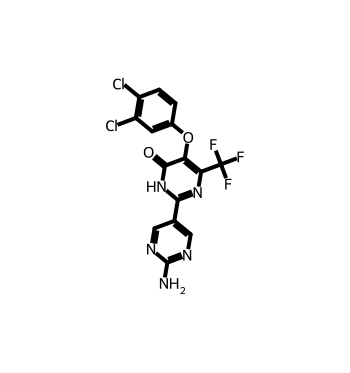 Nc1ncc(-c2nc(C(F)(F)F)c(Oc3ccc(Cl)c(Cl)c3)c(=O)[nH]2)cn1